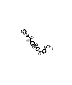 COc1cccc(C(=O)N2CCC(S(=O)(=O)c3ccc(NC(=O)C4CN(c5cccnn5)C4)cc3)CC2)c1